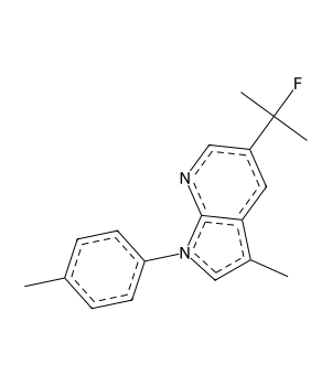 Cc1ccc(-n2cc(C)c3cc(C(C)(C)F)cnc32)cc1